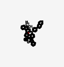 CC1(C)c2ccccc2-c2ccc(N(c3ccc(-c4ccc5ccccc5c4)cc3)c3cccc4c3-c3ccccc3C43c4ccccc4Oc4c3ccc3ccccc43)cc21